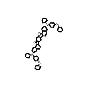 c1ccc(Sc2ccc(N(c3ccccc3)c3ccc4c(ccc5c6cc7c(cc6oc45)oc4c5ccc(N(c6ccccc6)c6ccc(Sc8ccccc8)cc6)cc5ccc74)c3)cc2)cc1